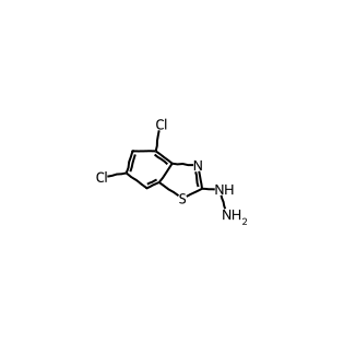 NNc1nc2c(Cl)cc(Cl)cc2s1